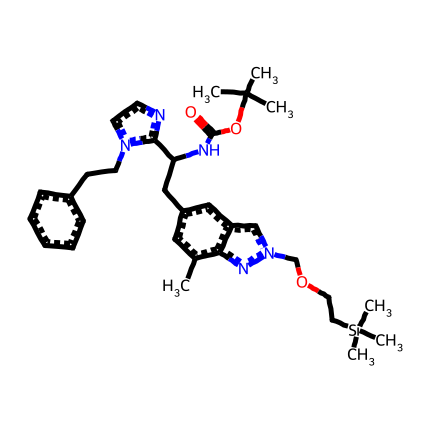 Cc1cc(CC(NC(=O)OC(C)(C)C)c2nccn2CCc2ccccc2)cc2cn(COCC[Si](C)(C)C)nc12